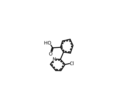 O=C(O)c1ccccc1-c1ncccc1Cl